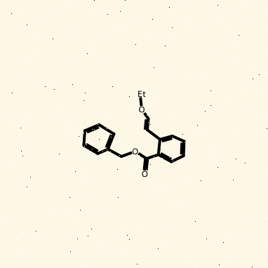 CCOC=Cc1ccccc1C(=O)OCc1ccccc1